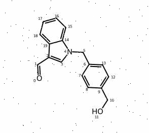 O=Cc1cn(Cc2ccc(CO)cc2)c2ccccc12